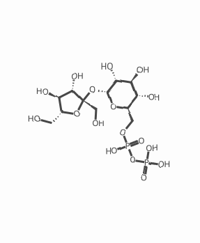 O=P(O)(O)OP(=O)(O)OC[C@H]1O[C@H](O[C@]2(CO)O[C@H](CO)[C@@H](O)[C@@H]2O)[C@H](O)[C@@H](O)[C@@H]1O